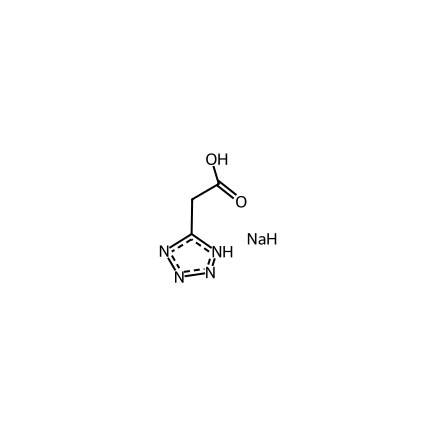 O=C(O)Cc1nnn[nH]1.[NaH]